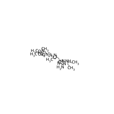 CCCC(CCC)Nc1nc(N)c2ncc(Cc3cnc(N4CCN(C(=O)CN(C)C(=O)OC(C)(C)C)CC4)c(C)c3)n2n1